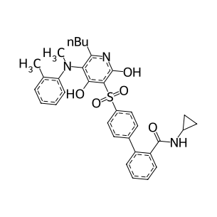 CCCCc1nc(O)c(S(=O)(=O)c2ccc(-c3ccccc3C(=O)NC3CC3)cc2)c(O)c1N(C)c1ccccc1C